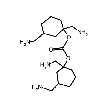 NCC1CCCC(CN)(OC(=O)OC2(CN)CCCC(CN)C2)C1